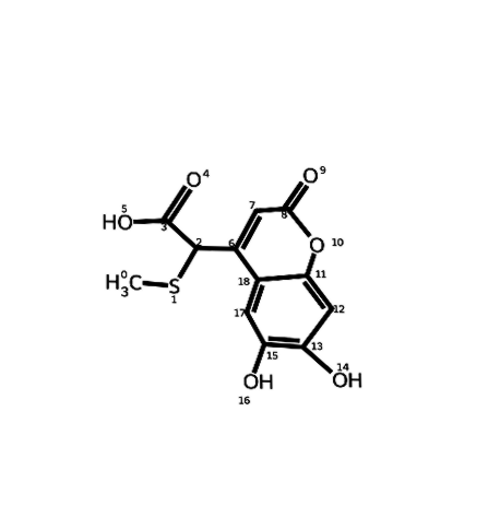 CSC(C(=O)O)c1cc(=O)oc2cc(O)c(O)cc12